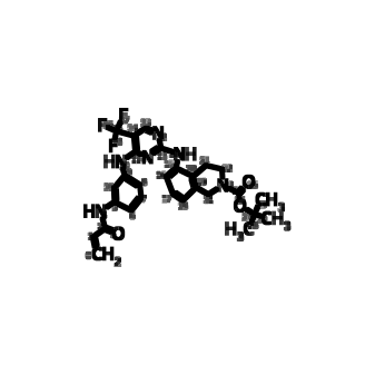 C=CC(=O)Nc1cccc(Nc2nc(Nc3cccc4c3CCN(C(=O)OC(C)(C)C)C4)ncc2C(F)(F)F)c1